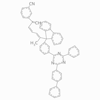 C=C(/C=C\C=C(/C)C1(c2cccc(-c3nc(-c4ccccc4)nc(-c4ccc(-c5ccccc5)cc4)n3)c2)c2ccccc2-c2ccccc21)c1cccc(C#N)c1